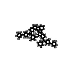 CC1(C)c2cc(N(c3ccccc3)c3ccc(-c4ccccc4)cc3)ccc2-c2c1n1c3c2cccc3c2ccc3ccc(N(c4ccccc4)c4ccc(-c5ccccc5)cc4)cc3c21